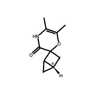 CC1=C(C)OC2(C[C@@H]3CC32)C(=O)N1